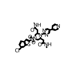 CNC(=O)CC1CN(S(=O)(=O)c2cc3ccc(Cl)cc3s2)CC(CC(=O)NC)N1c1ncc(-c2ccncc2)cn1